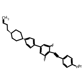 C=CCC[C@H]1CC[C@H](c2ccc(-c3cc(F)c(C#Cc4ccc(CCC)cc4)c(F)c3)cc2)CC1